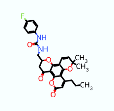 CCCc1cc(=O)oc2c3c(c4c(c12)OC(C)(C)C=C4)OC(CNC(=O)Nc1ccc(F)cc1)CC3=O